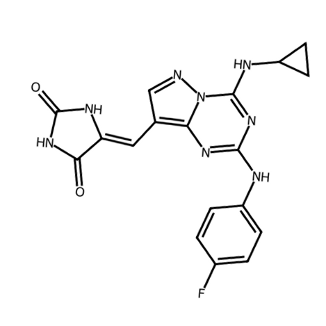 O=C1NC(=O)/C(=C/c2cnn3c(NC4CC4)nc(Nc4ccc(F)cc4)nc23)N1